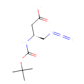 CC(C)(C)OC(=O)N[C@H](CN=[N+]=[N-])CC(=O)O